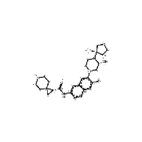 C[C@@]1(N2CCN(c3cc4cc(NC(=O)[C@@H]5CC56CCOCC6)ncc4cc3Cl)CC2)COC[C@@H]1O